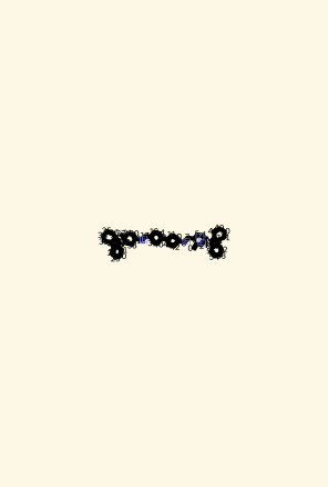 C=C/C=C(\C=C/C/C=C/c1ccc(-c2ccc(/C=C/C3=CCC(C)(n4c5c(c6ccccc64)CCC=C5)C=C3)cc2)cc1)n1c2c(c3c1C=CCC3)C=C=C=C2